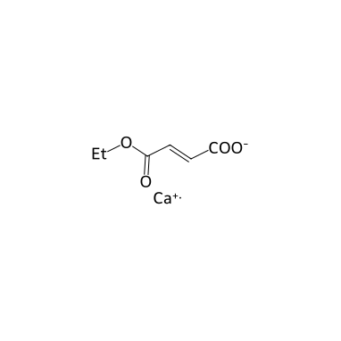 CCOC(=O)C=CC(=O)[O-].[Ca+]